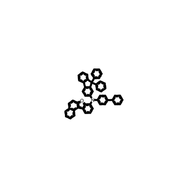 c1ccc(-c2ccc(N(c3ccc4c(c3)C(c3ccccc3)(c3ccccc3)c3ccccc3-4)c3cccc4c3oc3ccc5ccccc5c34)cc2)cc1